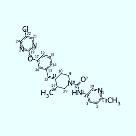 Cc1ccc(NC(=O)N2CC/C(=C\c3cccc(Oc4ncc(Cl)cn4)c3)C(C)C2)cn1